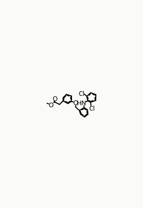 COC(=O)Cc1cccc(OCc2ccccc2Nc2c(Cl)cccc2Cl)c1